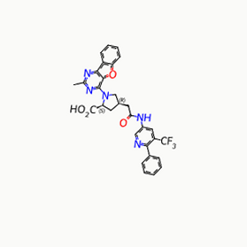 Cc1nc(N2C[C@@H](CC(=O)Nc3cnc(-c4ccccc4)c(C(F)(F)F)c3)C[C@H]2C(=O)O)c2oc3ccccc3c2n1